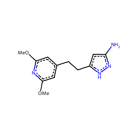 COc1cc(CCc2cc(N)n[nH]2)cc(OC)n1